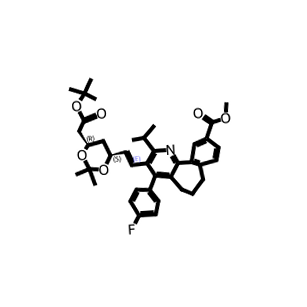 COC(=O)c1ccc2c(c1)-c1nc(C(C)C)c(/C=C/[C@@H]3C[C@H](CC(=O)OC(C)(C)C)OC(C)(C)O3)c(-c3ccc(F)cc3)c1CCC2